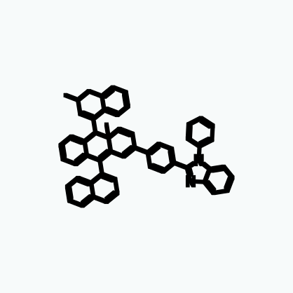 CC1C=C(C2c3ccccc3C(c3cccc4ccccc34)=C3C=C(c4ccc(-c5nc6ccccc6n5-c5ccccc5)cc4)C=CC32C)c2ccccc2C1